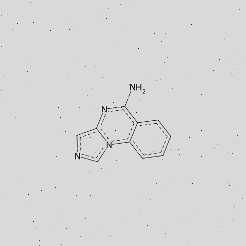 Nc1nc2cncn2c2ccccc12